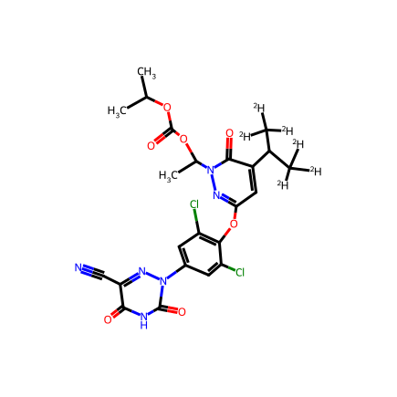 [2H]C([2H])([2H])C(c1cc(Oc2c(Cl)cc(-n3nc(C#N)c(=O)[nH]c3=O)cc2Cl)nn(C(C)OC(=O)OC(C)C)c1=O)C([2H])([2H])[2H]